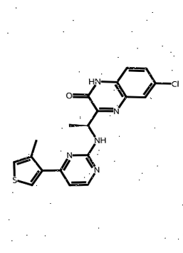 Cc1cscc1-c1ccnc(N[C@@H](C)c2nc3cc(Cl)ccc3[nH]c2=O)n1